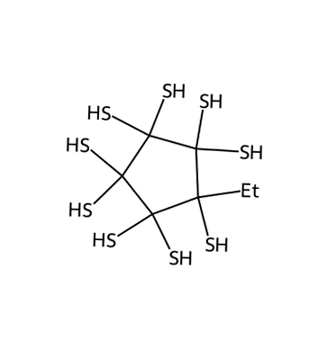 CCC1(S)C(S)(S)C(S)(S)C(S)(S)C1(S)S